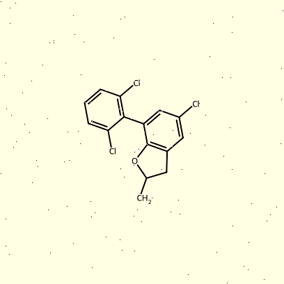 [CH2]C1Cc2cc(Cl)cc(-c3c(Cl)cccc3Cl)c2O1